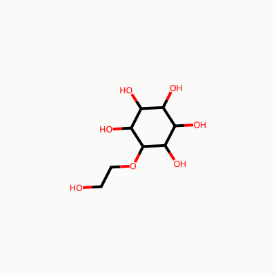 OCCOC1C(O)C(O)C(O)C(O)C1O